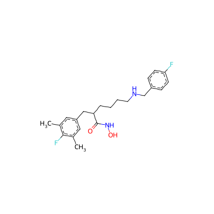 Cc1cc(CC(CCCCNCc2ccc(F)cc2)C(=O)NO)cc(C)c1F